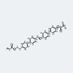 C=CC(=O)OCCc1ccc(-c2ccc(COc3ccc(-c4ccc(OC(=O)C(=C)C)cc4)cc3)cc2)cc1